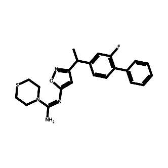 CC(c1ccc(-c2ccccc2)c(F)c1)c1cc(N=C(N)N2CCSCC2)on1